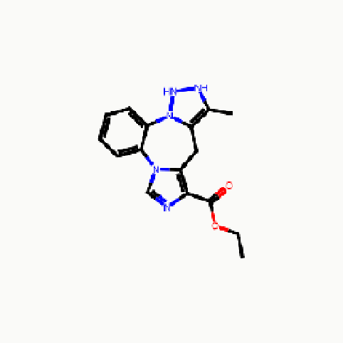 CCOC(=O)c1ncn2c1CC1=C(C)NNN1c1ccccc1-2